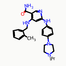 Cc1ccccc1CNc1cc(Nc2ccc(N3CCN(C(C)C)CC3)cc2)ncc1C(N)=O